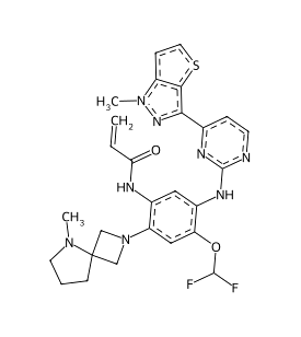 C=CC(=O)Nc1cc(Nc2nccc(-c3nn(C)c4ccsc34)n2)c(OC(F)F)cc1N1CC2(CCCN2C)C1